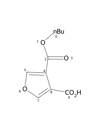 CCCCOC(=O)c1cocc1C(=O)O